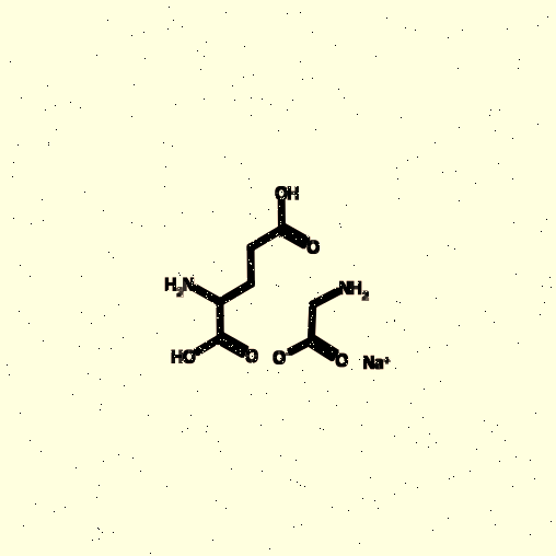 NC(CCC(=O)O)C(=O)O.NCC(=O)[O-].[Na+]